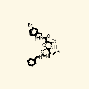 CCC(NC(=O)[C@H](CC(C)C)NC(=O)NCc1ccccc1)C(=O)C(=O)NCc1cc(Br)ccc1F